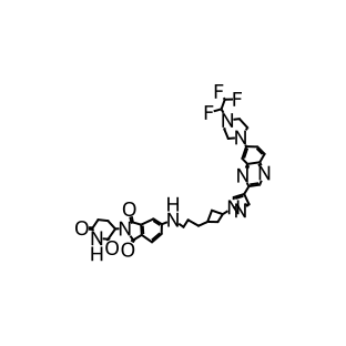 O=C1CCC(N2C(=O)c3ccc(NCCCC4CC(n5cc(-c6cnc7ccc(N8CCN(C(F)C(F)F)CC8)cc7n6)cn5)C4)cc3C2=O)C(=O)N1